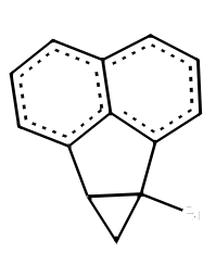 BrC12CC1c1cccc3cccc2c13